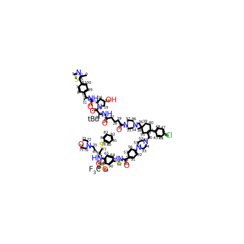 Cc1ncsc1-c1ccc([C@H](C)NC(=O)[C@@H]2C[C@@H](O)CN2C(=O)[C@@H](NC(=O)CCCC(=O)N2CCN(CC3(C)CCC(c4ccc(Cl)cc4)=C(CN4CCN(c5ccc(C(=O)NSc6ccc(N[C@H](CCN7CCOCC7)CSc7ccccc7)c(S(=O)(=O)C(F)(F)F)c6)cc5)CC4)C3)CC2)C(C)(C)C)cc1